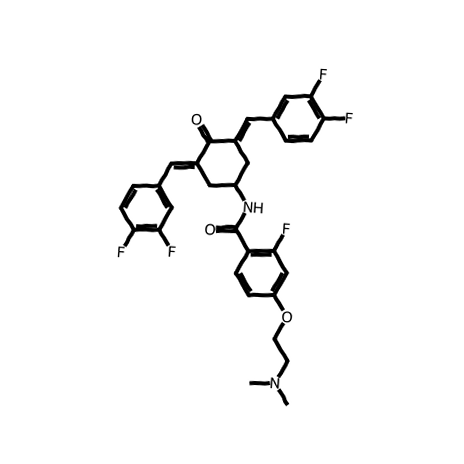 CN(C)CCOc1ccc(C(=O)NC2C/C(=C\c3ccc(F)c(F)c3)C(=O)/C(=C/c3ccc(F)c(F)c3)C2)c(F)c1